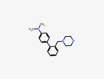 CN(C)c1ccc(-c2ccccc2CN2CC[N]CC2)cc1